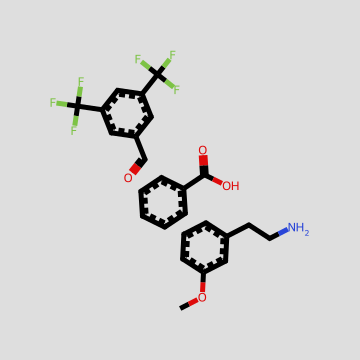 COc1cccc(CCN)c1.O=C(O)c1ccccc1.O=Cc1cc(C(F)(F)F)cc(C(F)(F)F)c1